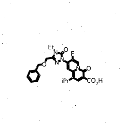 CCn1c(COCc2ccccc2)nn(-c2cc3c(C(C)C)cc(C(=O)O)c(=O)n3cc2F)c1=O